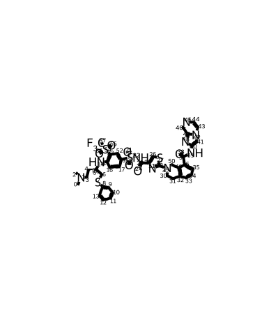 CN(C)CC[C@H](CSc1ccccc1)Nc1ccc(S(=O)(=O)NC(=O)c2csc(N3CCc4cccc(C(=O)Nc5cn6ccncc6n5)c4C3)n2)cc1S(=O)(=O)C(F)(F)F